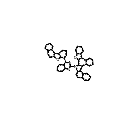 c1ccc2c(c1)ccc1oc3c(-c4nc(-n5c6ccc7ccccc7c6c6c7ccccc7c7c8ccccc8oc7c65)nc5ccccc45)cccc3c12